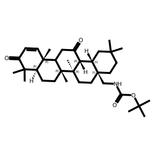 CC1(C)CC[C@]2(CNC(=O)OC(C)(C)C)CC[C@]3(C)[C@H](C(=O)CC4[C@@]5(C)C=CC(=O)C(C)(C)[C@@H]5CC[C@]43C)[C@@H]2C1